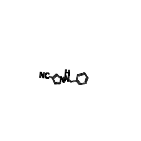 N#Cc1ccn(NCc2ccccc2)c1